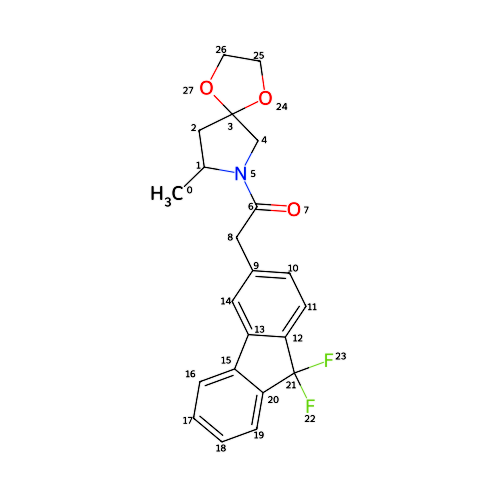 CC1CC2(CN1C(=O)Cc1ccc3c(c1)-c1ccccc1C3(F)F)OCCO2